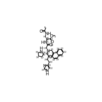 COC(=O)[C@H](CNC(C)=O)NC(=O)CN(Cc1cccc2ccccc12)C(C(=O)CCc1c[nH]cn1)[C@@H]1CCCN1